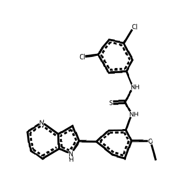 COc1ccc(-c2cc3ncccc3[nH]2)cc1NC(=S)Nc1cc(Cl)cc(Cl)c1